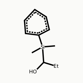 CCC(O)[Si](C)(C)c1ccccc1